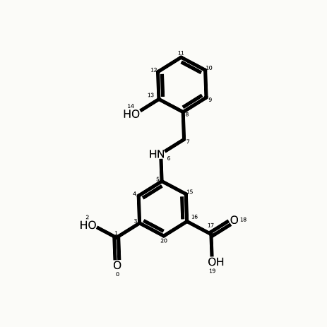 O=C(O)c1cc(NCc2ccccc2O)cc(C(=O)O)c1